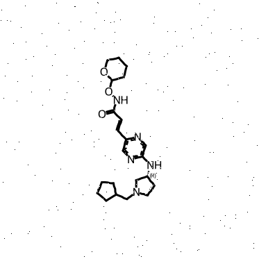 O=C(C=Cc1cnc(N[C@@H]2CCN(CC3CCCC3)C2)cn1)NOC1CCCCO1